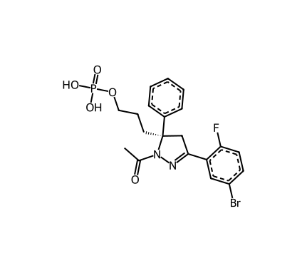 CC(=O)N1N=C(c2cc(Br)ccc2F)C[C@]1(CCCOP(=O)(O)O)c1ccccc1